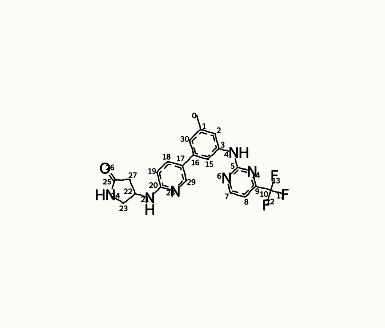 Cc1cc(Nc2nccc(C(F)(F)F)n2)cc(-c2ccc(NC3CNC(=O)C3)nc2)c1